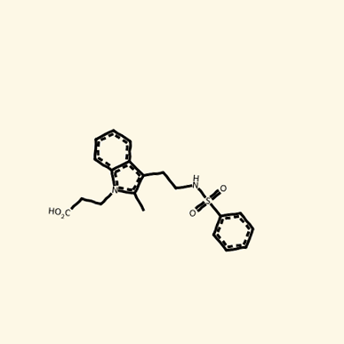 Cc1c(CCNS(=O)(=O)c2ccccc2)c2ccccc2n1CCC(=O)O